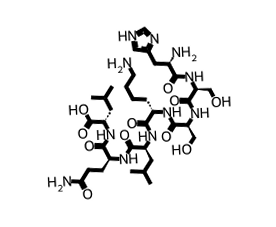 CC(C)C[C@H](NC(=O)[C@H](CCC(N)=O)NC(=O)[C@H](CC(C)C)NC(=O)[C@H](CCCCN)NC(=O)[C@H](CO)NC(=O)[C@H](CO)NC(=O)[C@@H](N)Cc1c[nH]cn1)C(=O)O